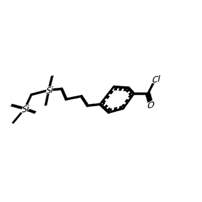 C[Si](C)(C)C[Si](C)(C)CCCCc1ccc(C(=O)Cl)cc1